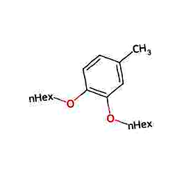 CCCCCCOc1ccc(C)cc1OCCCCCC